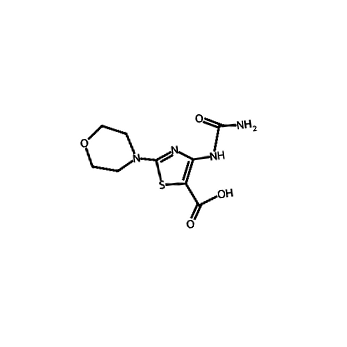 NC(=O)Nc1nc(N2CCOCC2)sc1C(=O)O